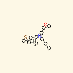 CC1(C)c2cc(-c3ccc(N(c4ccc(-c5ccc(-c6ccccc6)cc5)cc4)c4ccc(-c5ccc6oc7ccccc7c6c5)cc4)cc3)ccc2-c2sc3ccccc3c21